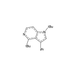 CC(C)c1cn(C(C)(C)C)c2ccnc(C(C)(C)C)c12